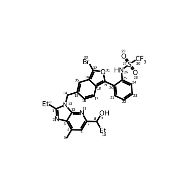 CCc1nc2c(C)cc(C(O)CC)nc2n1Cc1ccc2c(-c3ccccc3NS(=O)(=O)C(F)(F)F)oc(Br)c2c1